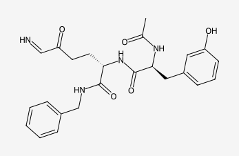 CC(=O)N[C@@H](Cc1cccc(O)c1)C(=O)N[C@@H](CCC(=O)C=N)C(=O)NCc1ccccc1